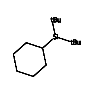 CC(C)(C)[Si](C1CCCCC1)C(C)(C)C